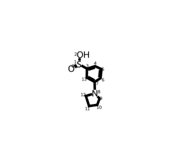 O=S(O)c1cccc(N2CCCC2)c1